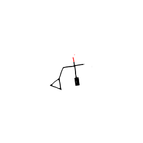 C#CC(C)(O)CC1CC1